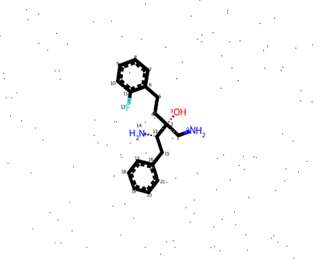 NC[C@](O)(CCc1ccccc1F)[C@@H](N)Cc1ccccc1